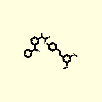 COc1cc(/C=C/c2ccc(OC(=O)C(C)c3cccc(C(=O)c4ccccc4)c3)cc2)cc(OC)c1